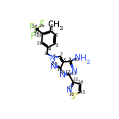 Cc1ccc(Cn2cc3c(N)nc(-c4ccsn4)nc3n2)cc1C(F)(F)F